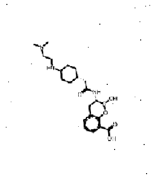 CN(C)CCN[C@H]1CC[C@H](CC(=O)N[C@H]2Cc3cccc(C(=O)O)c3OB2O)CC1